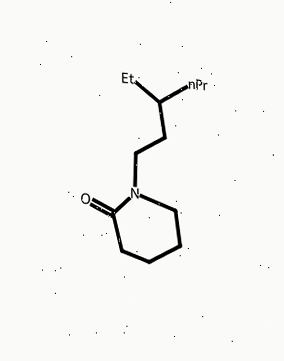 CCCC(CC)CCN1CCCCC1=O